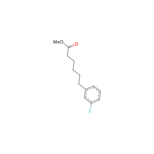 COC(=O)CCCCCc1cccc(F)c1